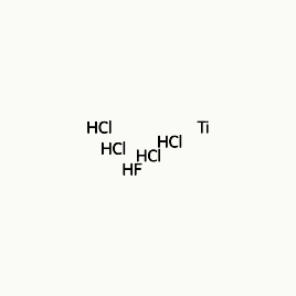 Cl.Cl.Cl.Cl.F.[Ti]